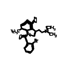 Cc1ccc(Cl)c2c(CCN(C)C)cn(C(=O)c3ccccc3Br)c12